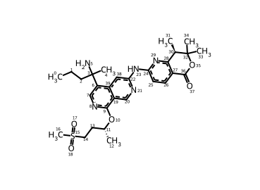 CCCC(C)(N)c1cnc(O[C@H](C)CCS(C)(=O)=O)c2cnc(Nc3ccc4c(n3)[C@@H](C)C(C)(C)OC4=O)cc12